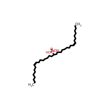 CCCCCCCC/C=C\CCCCCCCC[C](CCCCCCC/C=C\CCCCCCCC)P(=O)(O)O